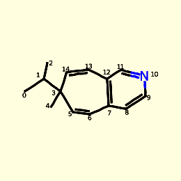 CC(C)C1(C)C=Cc2ccncc2C=C1